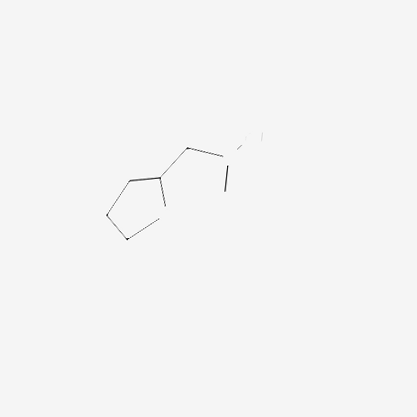 C[S+]([O-])CC1CCCO1